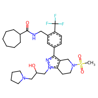 CS(=O)(=O)N1CCc2c(c(-c3ccc(C(F)(F)F)c(CNC(=O)C4CCCCCC4)c3)nn2CC(O)CN2CCCC2)C1